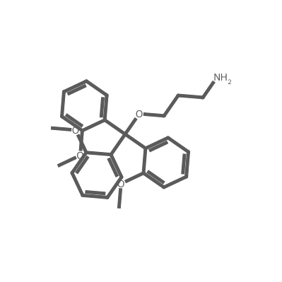 COc1ccccc1C(OCCCN)(c1ccccc1OC)c1ccccc1OC